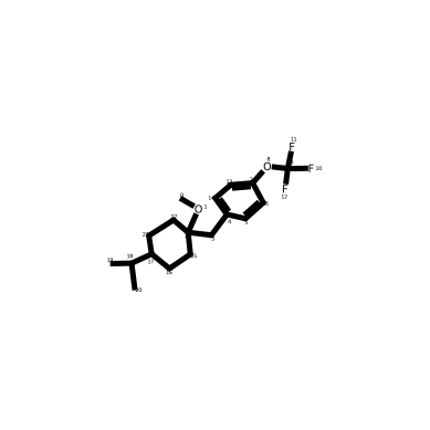 COC1(Cc2ccc(OC(F)(F)F)cc2)CCC(C(C)C)CC1